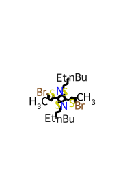 CCCCC(CC)CCc1nc2c(-c3cc(C)c(Br)s3)c3sc(CCC(CC)CCCC)nc3c(-c3cc(C)c(Br)s3)c2s1